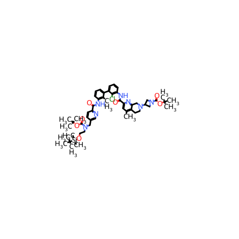 Cc1cc(C(=O)Nc2cccc(-c3cccc(NC(=O)c4ccc(CN(CCO[Si](C)(C)C(C)(C)C)C(=O)OC(C)(C)C)cn4)c3C)c2Cl)nc2c1CCN(C1CN(C(=O)OC(C)(C)C)C1)C2